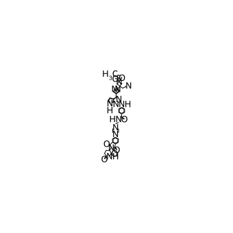 CCS(=O)(=O)N1CC(CC#N)(n2cc(-c3nc(Nc4ccc(C(=O)NCCN5CCN(c6ccc7c(c6)C(=O)N(C6CCC(=O)NC6=O)C7=O)CC5)cc4)nc4[nH]ccc34)cn2)C1